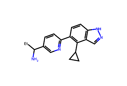 CCC(N)c1ccc(-c2ccc3[nH]ncc3c2C2CC2)nc1